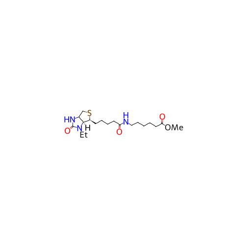 CCN1C(=O)NC2CS[C@@H](CCCCC(=O)NCCCCCC(=O)OC)[C@H]21